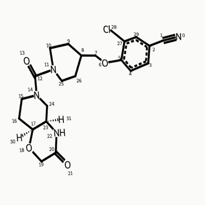 N#Cc1ccc(OCC2CCN(C(=O)N3CC[C@@H]4OCC(=O)N[C@@H]4C3)CC2)c(Cl)c1